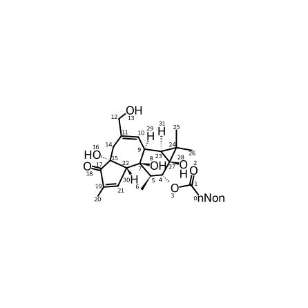 CCCCCCCCCC(=O)O[C@@H]1[C@@H](C)[C@@]2(O)[C@@H](C=C(CO)C[C@]3(O)C(=O)C(C)=C[C@@H]23)[C@H]2C(C)(C)[C@]12O